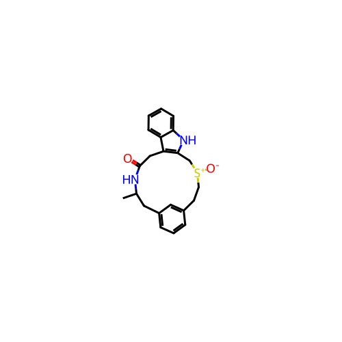 CC1Cc2cccc(c2)CC[S+]([O-])Cc2[nH]c3ccccc3c2CC(=O)N1